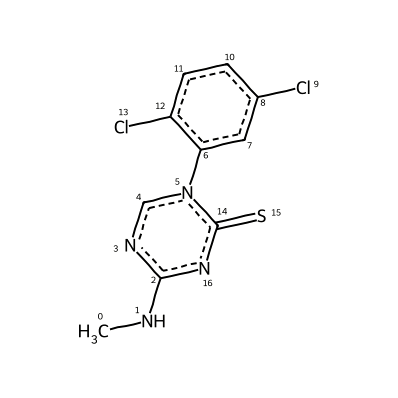 CNc1ncn(-c2cc(Cl)ccc2Cl)c(=S)n1